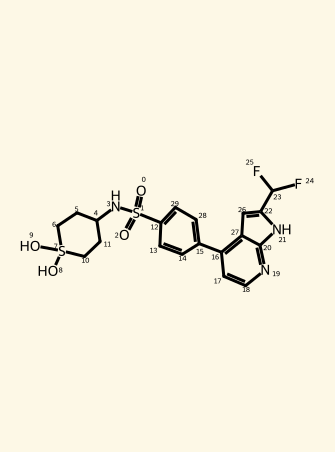 O=S(=O)(NC1CCS(O)(O)CC1)c1ccc(-c2ccnc3[nH]c(C(F)F)cc23)cc1